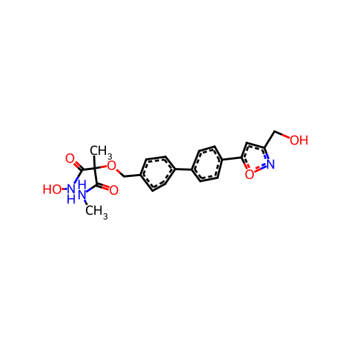 CNC(=O)C(C)(OCc1ccc(-c2ccc(-c3cc(CO)no3)cc2)cc1)C(=O)NO